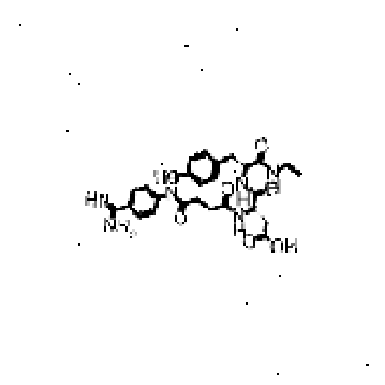 CCNC(=O)[C@H](Cc1ccc(O)cc1)NC(=O)[C@H](CC(=O)O)NC(=O)CCC(=O)Nc1ccc(C(=N)N)cc1